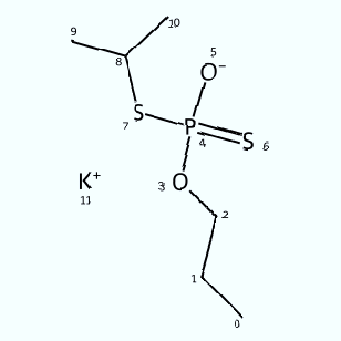 CCCOP([O-])(=S)SC(C)C.[K+]